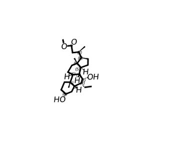 CC[C@H]1[C@@H](O)[C@@H]2[C@H](CC[C@]3(C)[C@@H]([C@H](C)CC(=O)OC)CC[C@@H]23)[C@@]2(C)CC[C@@H](O)C[C@@H]12